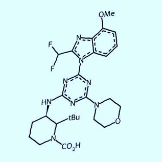 COc1cccc2c1nc(C(F)F)n2-c1nc(N[C@@H]2CCCN(C(=O)O)C2C(C)(C)C)nc(N2CCOCC2)n1